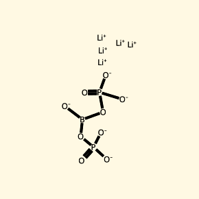 O=P([O-])([O-])OB([O-])OP(=O)([O-])[O-].[Li+].[Li+].[Li+].[Li+].[Li+]